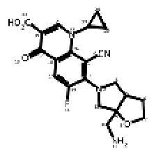 N#Cc1c(N2CC3CCOC3(CN)C2)c(F)cc2c(=O)c(C(=O)O)cn(C3CC3)c12